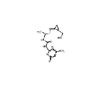 Cc1cc(=O)nc(NC(=O)NC(C)COC2CC2CO)[nH]1